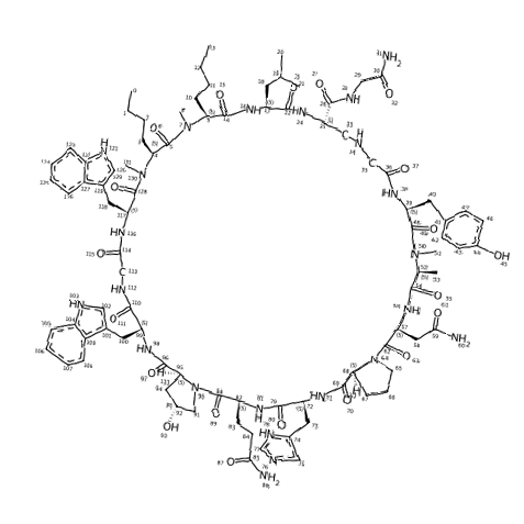 CCCC[C@H]1C(=O)N(C)[C@@H](CCCC)C(=O)N[C@@H](CC(C)C)C(=O)N[C@H](C(=O)NCC(N)=O)CNCC(=O)N[C@@H](Cc2ccc(O)cc2)C(=O)N(C)[C@@H](C)C(=O)N[C@@H](CC(N)=O)C(=O)N2CCC[C@H]2C(=O)N[C@@H](Cc2cnc[nH]2)C(=O)N[C@@H](CCC(N)=O)C(=O)N2C[C@H](O)C[C@H]2C(=O)N[C@@H](Cc2c[nH]c3ccccc23)C(=O)NCC(=O)N[C@@H](Cc2c[nH]c3ccccc23)C(=O)N1C